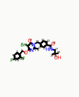 Cc1nc(OCc2ccc(F)cc2F)c(Br)c(=O)n1Cc1ccc(C(=O)NCC(C)(C)O)cc1